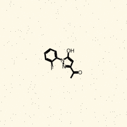 CC(=O)c1cc(O)n(-c2ccccc2F)n1